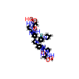 COC(=O)N[C@H](C(=O)N1CCC[C@H]1c1nc2cc(C3CC[C@H](c4ccc5[nH]c([C@@H]6CCCN6C(=O)[C@@H](NC(=O)O)C(C)C)nc5c4)N3c3ccc(N4CCC(C)CC4)c(F)c3)ccc2[nH]1)C(C)C